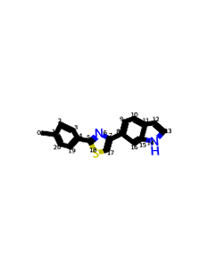 Cc1ccc(-c2nc(-c3ccc4cc[nH]c4c3)cs2)cc1